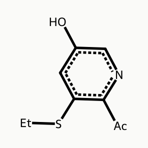 CCSc1cc(O)cnc1C(C)=O